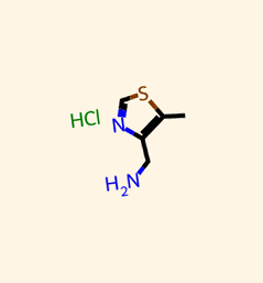 Cc1scnc1CN.Cl